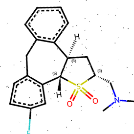 CN(C)C[C@H]1C[C@@H]2c3ccccc3Cc3ccc(F)cc3[C@H]2S1(=O)=O